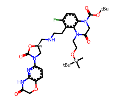 CC(C)(C)OC(=O)N1CC(=O)N(CCO[Si](C)(C)C(C)(C)C)c2c1ccc(F)c2CCNC[C@H]1CN(c2ccc3c(n2)NC(=O)CO3)C(=O)O1